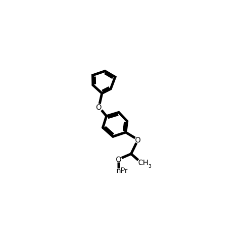 CCCOC(C)Oc1ccc(Oc2ccccc2)cc1